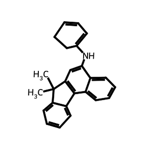 CC1(C)c2ccccc2-c2c1cc(NC1=CC=CCC1)c1ccccc21